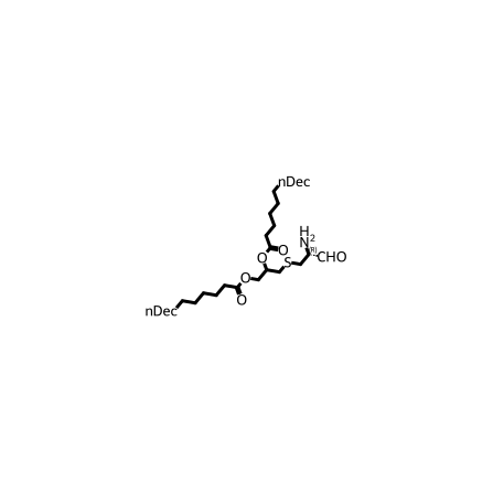 CCCCCCCCCCCCCCCC(=O)OCC(CSC[C@H](N)C=O)OC(=O)CCCCCCCCCCCCCCC